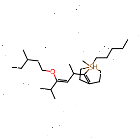 CCCCC[SH]12(C)CCC(=C1C(C)C=C(OCCC(C)CC)C(C)C)CC2